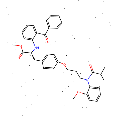 COC(=O)[C@H](Cc1ccc(OCCCN(C(=O)C(C)C)c2ccccc2OC)cc1)Nc1ccccc1C(=O)c1ccccc1